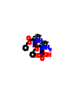 CC(C)C[C@H](NN)C(=O)OCc1ccccc1.CC(C)C[C@H](NN)C(=O)OCc1ccccc1.O=C(O)C(=O)O